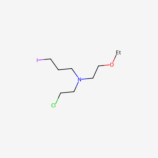 CCOCCN(CCCl)CCCI